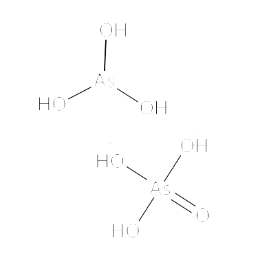 O=[As](O)(O)O.O[As](O)O